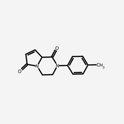 Cc1ccc(N2CCN3C(=O)C=CC3C2=O)cc1